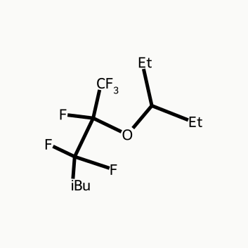 CCC(CC)OC(F)(C(F)(F)F)C(F)(F)C(C)CC